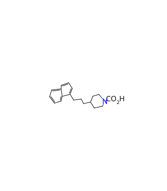 O=C(O)N1CCC(CCCc2cccc3ccccc23)CC1